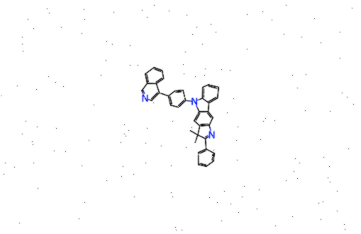 CC1(C)C(c2ccccc2)=Nc2cc3c4ccccc4n(-c4ccc(-c5cncc6ccccc56)cc4)c3cc21